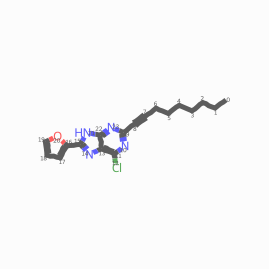 CCCCCCCC#Cc1nc(Cl)c2nc(-c3ccco3)[nH]c2n1